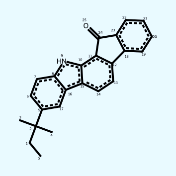 CCC(C)(C)c1ccc2[nH]c3c4c(ccc3c2c1)-c1ccccc1C4=O